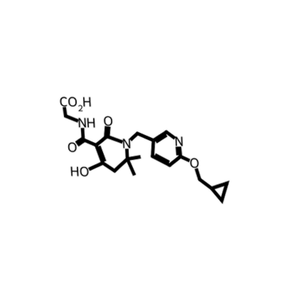 CC1(C)CC(O)=C(C(=O)NCC(=O)O)C(=O)N1Cc1ccc(OCC2CC2)nc1